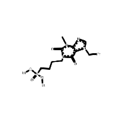 CCOP(=O)(CCCCn1c(=O)c2c(ncn2CC(C)C)n(C)c1=O)OCC